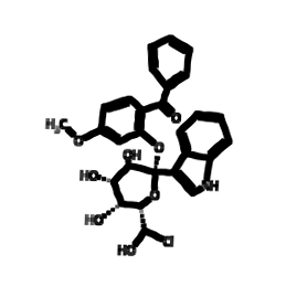 COc1ccc(C(=O)c2ccccc2)c(O[C@]2(c3c[nH]c4ccccc34)O[C@H](C(O)Cl)[C@H](O)[C@H](O)[C@H]2O)c1